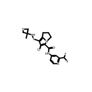 CC1(NSc2c(Cl)c(C(=O)Nc3ccnc(C(F)F)c3)n3c2CCC3)COC1